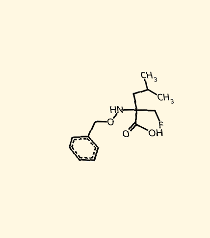 CC(C)CC(CF)(NOCc1ccccc1)C(=O)O